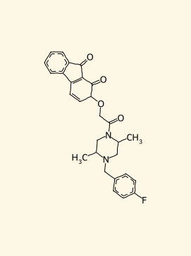 CC1CN(C(=O)COC2C=CC3=C(C(=O)c4ccccc43)C2=O)C(C)CN1Cc1ccc(F)cc1